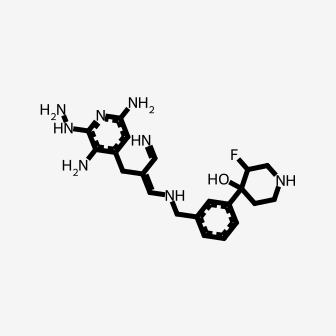 N=C/C(=C\NCc1cccc(C2(O)CCNCC2F)c1)Cc1cc(N)nc(NN)c1N